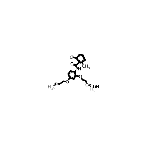 COCCOc1ccc(PC(=O)c2c(C)cccc2Cl)c(OCCOC)c1.[LiH]